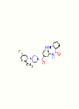 Cc1ccc(Cl)cc1N1CCN(C(=O)c2ccc3c(c2)NC(=O)c2ccccc2N3)CC1